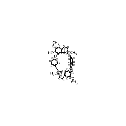 COc1cc2c3c(c1O)Oc1ccc(cc1)C[C@@H]1c4c(cc(OC)c5c4Oc4ccc(cc4CO5)C[C@H]3N(C)CC2)CCN1C